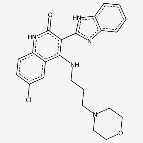 O=c1[nH]c2ccc(Cl)cc2c(NCCCN2CCOCC2)c1-c1nc2ccccc2[nH]1